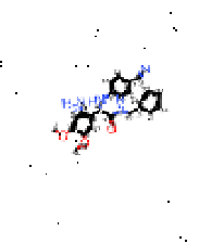 COc1cc(N)c(C(Nc2ccc(C#N)cc2)C(=O)NCc2ccccc2)cc1OC